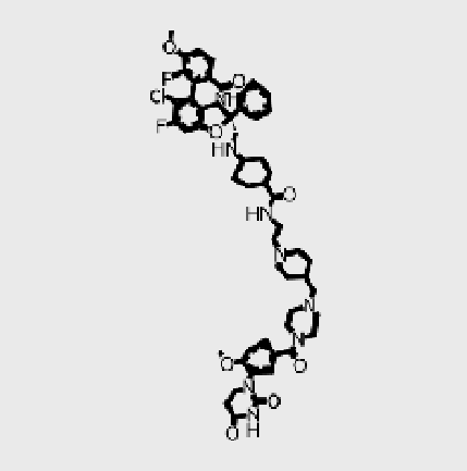 COc1ccc(C(=O)N2CCN(CC3CCN(CCNC(=O)C4CCC(NC[C@]5(c6ccccc6)Oc6cc(F)c(Cl)c(-c7c(C(N)=O)ccc(OC)c7F)c6[C@@H]5C)CC4)CC3)CC2)cc1N1CCC(=O)NC1=O